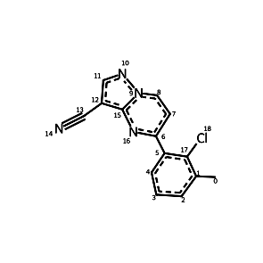 Cc1cccc(-c2ccn3ncc(C#N)c3n2)c1Cl